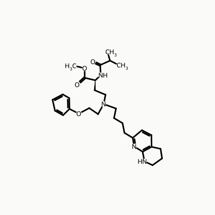 COC(=O)[C@H](CCN(CCCCc1ccc2c(n1)NCCC2)CCOc1ccccc1)NC(=O)C(C)C